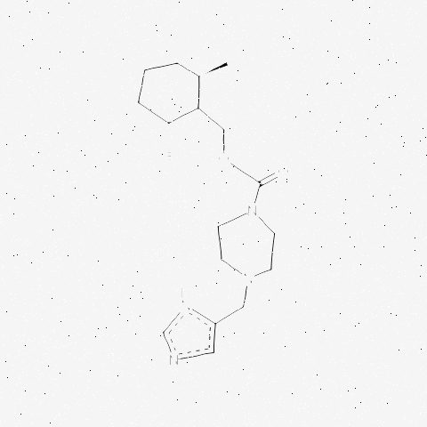 C[C@@H]1CCC[C@@H](C)C1COC(=O)N1CCN(Cc2cnc[nH]2)CC1